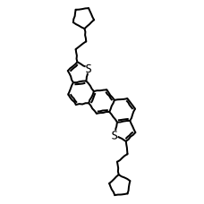 c1cc2cc(CCC3CCCC3)sc2c2cc3ccc4cc(CCC5CCCC5)sc4c3cc12